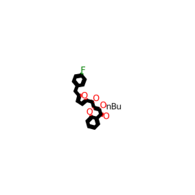 CCCCOc1c(C(=O)c2ccc(Cc3ccc(F)cc3)o2)oc2ccccc2c1=O